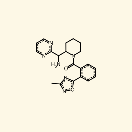 Cc1noc(-c2ccccc2C(=O)N2CCCCC2C(N)c2ncccn2)n1